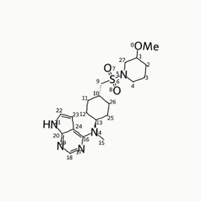 COC1CCCN(S(=O)(=O)C[C@H]2CC[C@H](N(C)c3ncnc4[nH]ccc34)CC2)C1